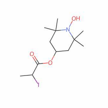 CC(I)C(=O)OC1CC(C)(C)N(O)C(C)(C)C1